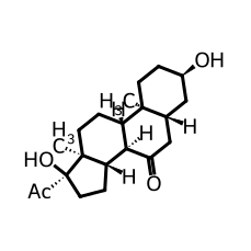 CC(=O)[C@@]1(O)CC[C@H]2[C@@H]3C(=O)C[C@H]4C[C@H](O)CC[C@]4(C)[C@H]3CC[C@@]21C